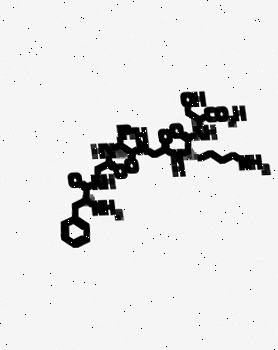 CC(C)[C@H](NC(=O)CNC(=O)[C@@H](N)Cc1ccccc1)C(=O)NCC(=O)N[C@@H](CCCCN)C(=O)N[C@@H](CO)C(=O)O